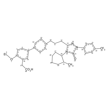 CCOc1ccc(-c2ccc(CCCc3nn(-c4ccc(C(F)(F)F)cc4)c(=O)n3C3CCCCC3C)cc2)cc1CC(=O)O